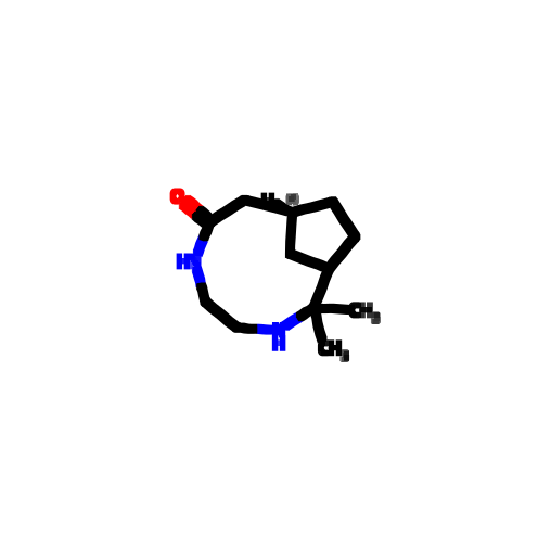 CC1(C)NCCNC(=O)C[C@@H]2CCC1C2